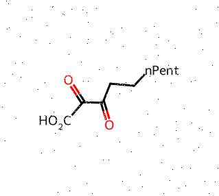 CCCCCCCC(=O)C(=O)C(=O)O